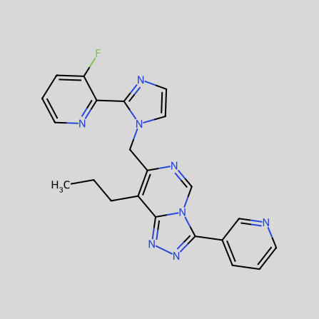 CCCc1c(Cn2ccnc2-c2ncccc2F)ncn2c(-c3cccnc3)nnc12